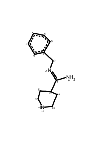 NC(=NCc1ccccc1)C1CCNCC1